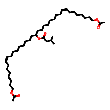 CC(=O)OCCCCCCC/C=C\CCCCCCCCC(CCCCCCCC/C=C\CCCCCCCOC(C)=O)OC(=O)CC(C)C